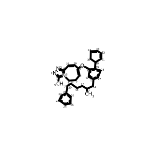 Cc1nnc2n1CC/C=C(Oc1cc(CC(C)CCCCc3ccccc3)ccc1C1C=CC=CC1)\C=C/2